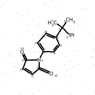 CC(C)C(C)(C)c1ccc(N2C(=O)C=CC2=O)cc1